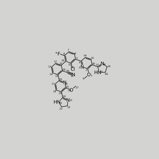 COc1nc(-c2ccc(F)c(-c3cccc(-c4ccc(C5=NCCN5)c(OC)n4)c3C#N)c2Cl)ccc1C1=NCCN1